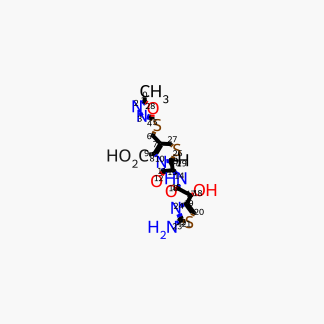 Cc1nnc(SCC2=C(C(=O)O)N3C(=O)C(NC(=O)C(O)c4csc(N)n4)[C@H]3SC2)o1